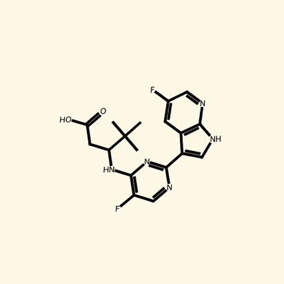 CC(C)(C)C(CC(=O)O)Nc1nc(-c2c[nH]c3ncc(F)cc23)ncc1F